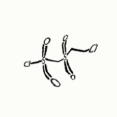 O=S(=O)(Cl)S(=O)(=O)Cl